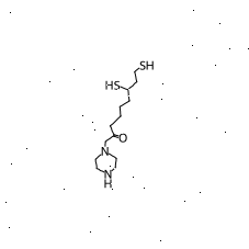 O=C(CCCCC(S)CCS)CN1CCNCC1